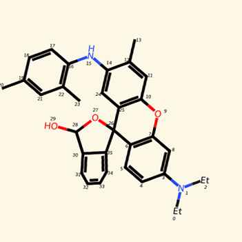 CCN(CC)c1ccc2c(c1)Oc1cc(C)c(Nc3ccc(C)cc3C)cc1C21OC(O)c2ccccc21